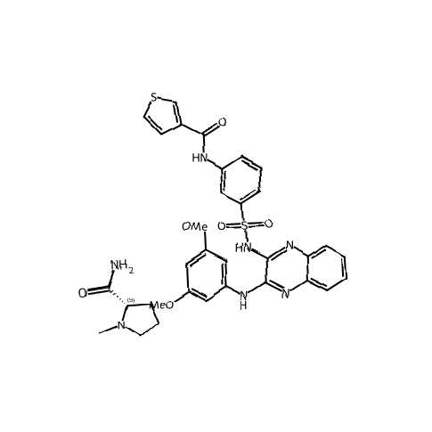 CN1CCC[C@H]1C(N)=O.COc1cc(Nc2nc3ccccc3nc2NS(=O)(=O)c2cccc(NC(=O)c3ccsc3)c2)cc(OC)c1